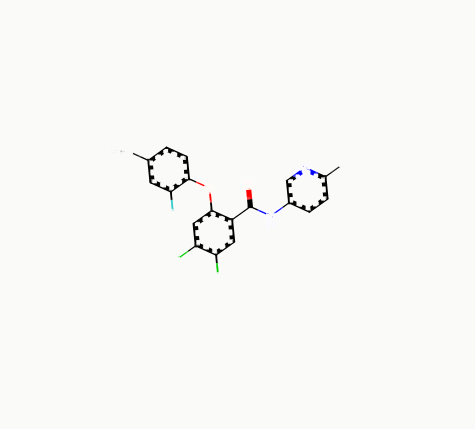 COc1ccc(Oc2cc(Cl)c(Cl)cc2C(=O)Nc2ccc(C(=O)O)nc2)c(F)c1